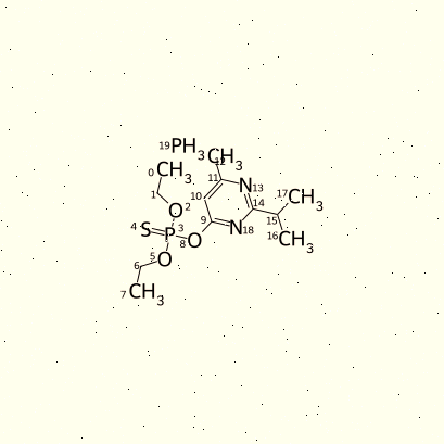 CCOP(=S)(OCC)Oc1cc(C)nc(C(C)C)n1.P